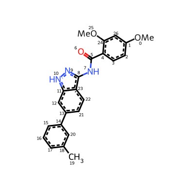 COc1ccc(C(=O)Nc2n[nH]c3cc(-c4cccc(C)c4)ccc23)c(OC)c1